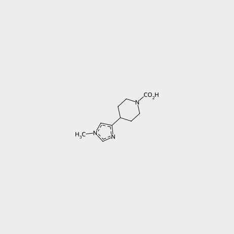 Cn1cnc(C2CCN(C(=O)O)CC2)c1